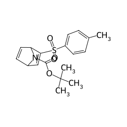 Cc1ccc(S(=O)(=O)C2=CC3C=CC2N3C(=O)OC(C)(C)C)cc1